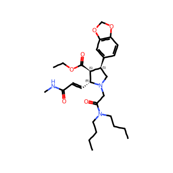 CCCCN(CCCC)C(=O)CN1C[C@H](c2ccc3c(c2)OCO3)[C@H](C(=O)OCC)[C@H]1C=CC(=O)NC